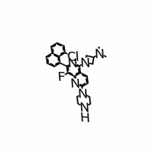 CN(C)C1CN(c2nc(-c3cccc4cccc(Cl)c34)c(F)c3nc(N4CCNCC4)ccc23)C1